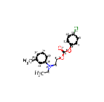 CCN(CCOC(=O)Oc1ccc(Cl)cc1)c1cccc(C)c1